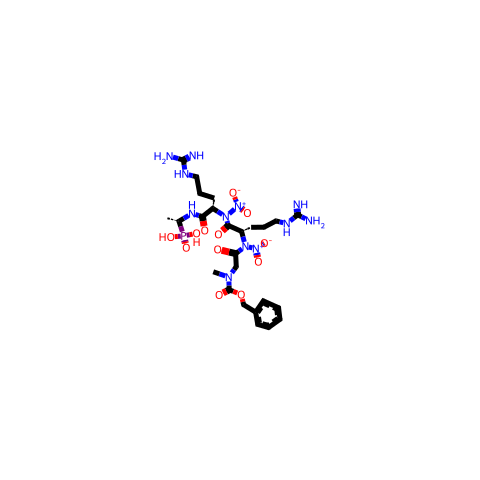 C[C@H](NC(=O)[C@H](CCCNC(=N)N)N(C(=O)[C@H](CCCNC(=N)N)N(C(=O)CN(C)C(=O)OCc1ccccc1)[N+](=O)[O-])[N+](=O)[O-])P(=O)(O)O